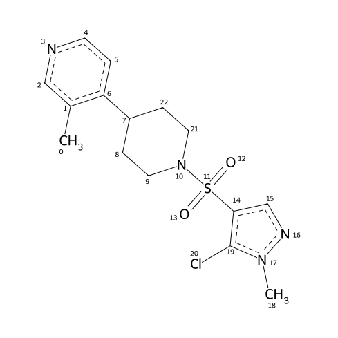 Cc1cnccc1C1CCN(S(=O)(=O)c2cnn(C)c2Cl)CC1